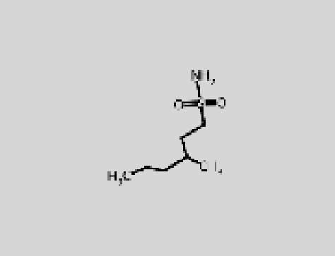 CCCC(C)CCS(N)(=O)=O